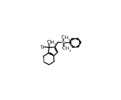 C[C]1([Ti])C(C[Si](C)(C)c2ccccc2)=CC2=C1CCCC2